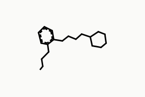 CCCCc1ccccc1CCCCC1CCCCC1